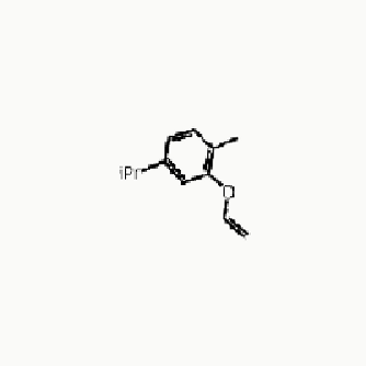 C=COc1cc(C(C)C)ccc1C